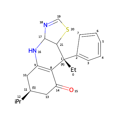 CC[C@@]1(c2ccccc2)C2=C(C[C@H](C(C)C)CC2=O)NC2N=CSC21